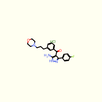 Cl.Nc1[nH]nc(-c2ccc(F)cc2)c1C(=O)c1cccc(CCCN2CCOCC2)c1